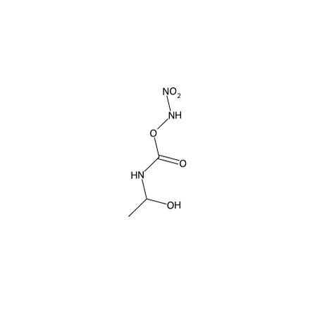 CC(O)NC(=O)ON[N+](=O)[O-]